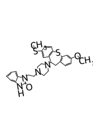 COc1ccc2c(c1)Sc1ccc(SC)cc1C(N1CCN(CCn3c(=O)[nH]c4ccccc43)CC1)C2